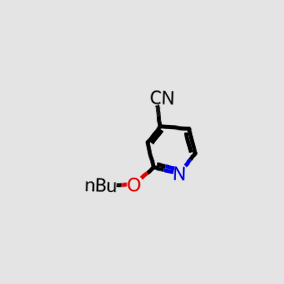 CCCCOc1cc(C#N)ccn1